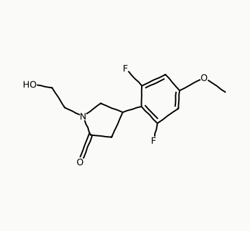 COc1cc(F)c(C2CC(=O)N(CCO)C2)c(F)c1